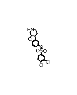 O=S(=O)(Oc1ccc2c(c1)C1CCNCC1O2)c1ccc(Cl)c(Cl)c1